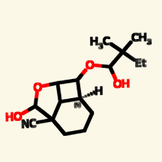 CCC(C)(C)C(O)OC1C2OC(O)C3(C#N)CCC[C@H]1C23